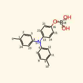 Cc1ccc(N(c2ccc(C)cc2)c2ccc(OB(O)O)cc2)cc1